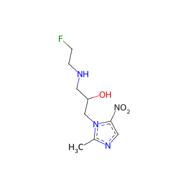 Cc1ncc([N+](=O)[O-])n1CC(O)CNCCF